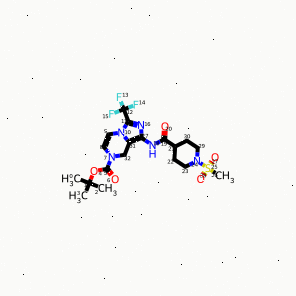 CC(C)(C)OC(=O)N1C=Cn2c(C(F)(F)F)nc(NC(=O)C3CCN(S(C)(=O)=O)CC3)c2C1